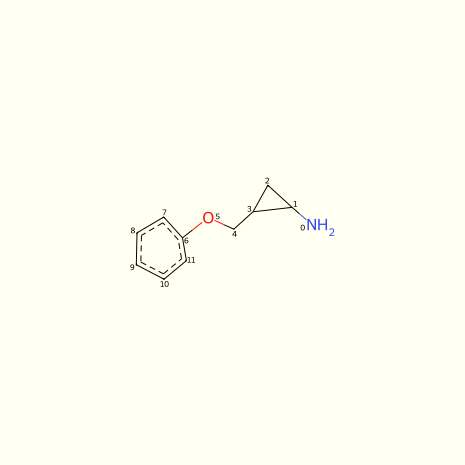 NC1CC1COc1ccccc1